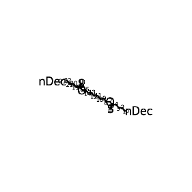 CCCCCCCCCCCCCCC(=S)OCCCCCCCCOC(=S)CCCCCCCCCCCCCC